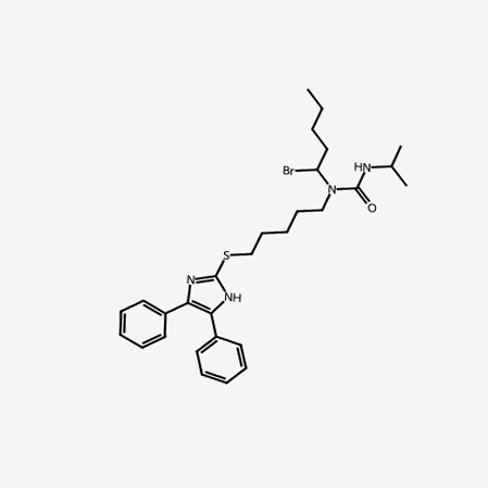 CCCCC(Br)N(CCCCCSc1nc(-c2ccccc2)c(-c2ccccc2)[nH]1)C(=O)NC(C)C